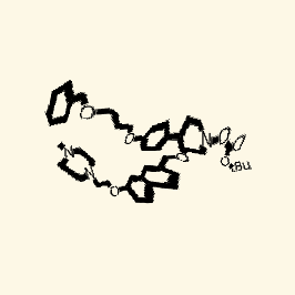 CN1CCN(CCOc2ccc3ccc(COC4CN(OC(=O)OC(C)(C)C)CCC4c4ccc(OCCCOCc5ccccc5)cc4)cc3c2)CC1